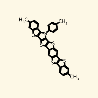 Cc1ccc(-n2c3c4ccc(C)cc4oc3c3sc4c5cc6sc7c8ccc(C)cc8sc7c6cc5sc4c32)cc1